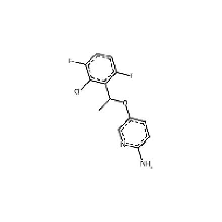 CC(Oc1ccc(N)nc1)c1c(F)ccc(F)c1Cl